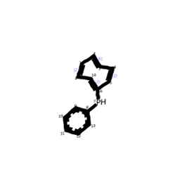 C1=C\C=C\C=C/C(Pc2ccccc2)=C/1